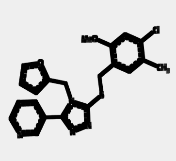 COc1cc(Cl)c(C)cc1CSc1nnc(-c2cccnc2)n1Cc1ccco1